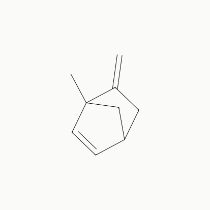 C=C1CC2C=CC1(C)C2